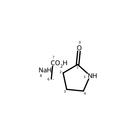 O=C1CCCN1.[CH2]C(=O)O.[NaH]